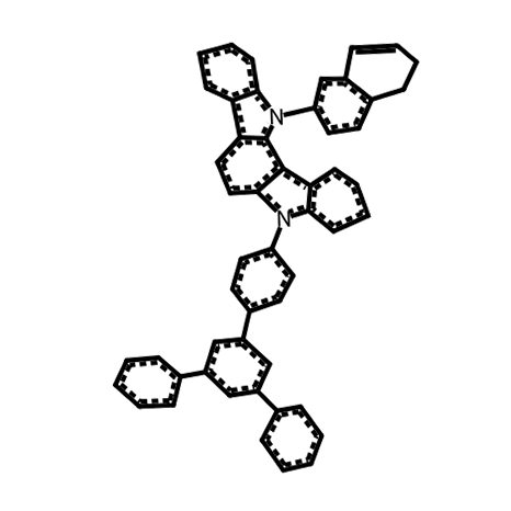 C1=Cc2cc(-n3c4ccccc4c4ccc5c(c6ccccc6n5-c5ccc(-c6cc(-c7ccccc7)cc(-c7ccccc7)c6)cc5)c43)ccc2CC1